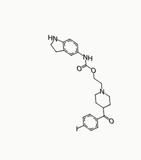 O=C(Nc1ccc2c(c1)CCN2)OCCN1CCC(C(=O)c2ccc(I)cc2)CC1